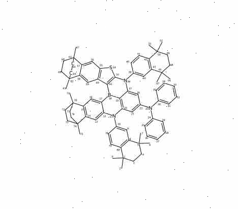 CC1(C)CCC(C)(C)c2cc(N3c4cc5c(cc4B4c6c3cc(N(c3ccccc3)c3ccccc3)cc6N(c3ccc6c(c3)C(C)(C)CCC6(C)C)c3sc6cc7c(cc6c34)C3(C)CCC7(C)CC3)C3(C)CCC5(C)CC3)ccc21